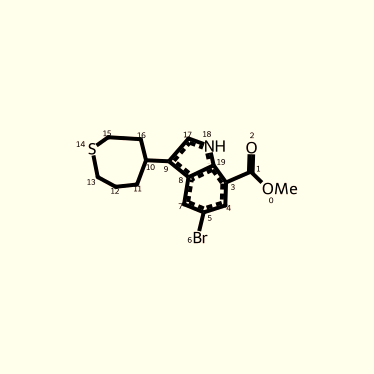 COC(=O)c1cc(Br)cc2c(C3CCCSCC3)c[nH]c12